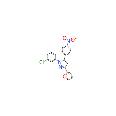 O=[N+]([O-])c1ccc(C2CC(c3ccco3)=NN2c2cccc(Cl)c2)cc1